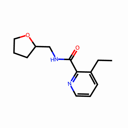 CCc1cccnc1C(=O)NCC1CCCO1